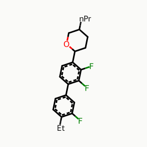 CCCC1CCC(c2ccc(-c3ccc(CC)c(F)c3)c(F)c2F)OC1